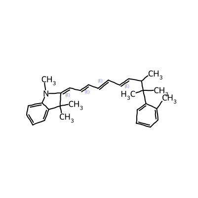 Cc1ccccc1C(C)(C)C(C)/C=C/C=C/C=C/C=C1/N(C)c2ccccc2C1(C)C